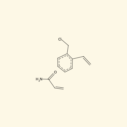 C=CC(N)=O.C=Cc1ccccc1CCl